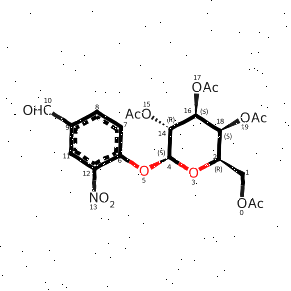 CC(=O)OC[C@H]1O[C@@H](Oc2ccc(C=O)cc2[N+](=O)[O-])[C@H](OC(C)=O)[C@@H](OC(C)=O)[C@H]1OC(C)=O